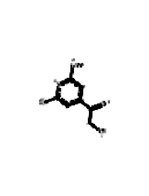 COc1cc(C(=O)CC#N)cc(Br)n1